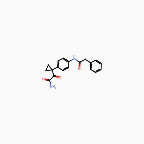 NC(=O)C(=O)C1(c2ccc(NC(=O)[CH]c3ccccc3)cc2)CC1